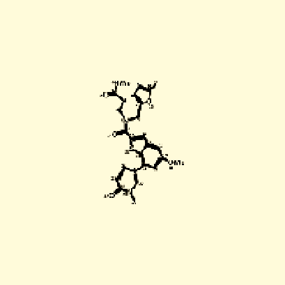 CNC(=O)CCN(Cc1ccc(C)o1)C(=O)c1cc2cc(OC)cc(-c3ccc(=O)n(C)c3)c2s1